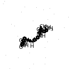 C=CCn1c(=O)c2cnc(Nc3ccc(N4CCC(NC5CC6(C5)CN(c5cccc7c5C(=O)N(C5CCC(=O)NC5=O)C7=O)C6)CC4)cc3)nc2n1-c1ccc2c(n1)[C@@](O)(CC)CC2